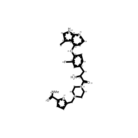 CNC(=O)c1ccc(CN2CCN(C(=O)C(N)Cc3ccc(Oc4ccnc5[nH]cc(C)c45)c(F)c3)CC2)o1